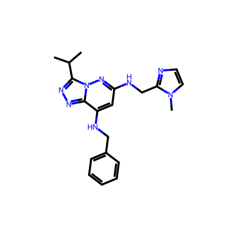 CC(C)c1nnc2c(NCc3ccccc3)cc(NCc3nccn3C)nn12